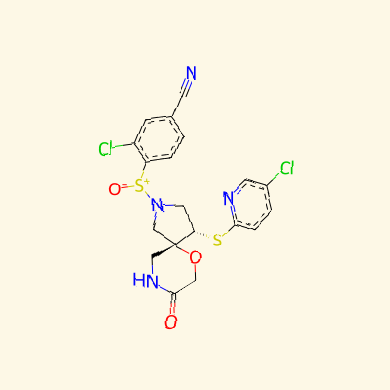 N#Cc1ccc([S+]([O-])N2C[C@H](Sc3ccc(Cl)cn3)[C@@]3(CNC(=O)CO3)C2)c(Cl)c1